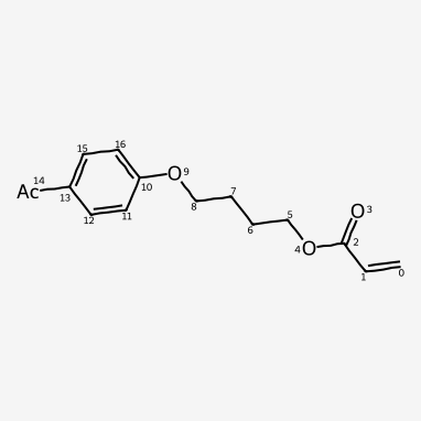 C=CC(=O)OCCCCOc1ccc(C(C)=O)cc1